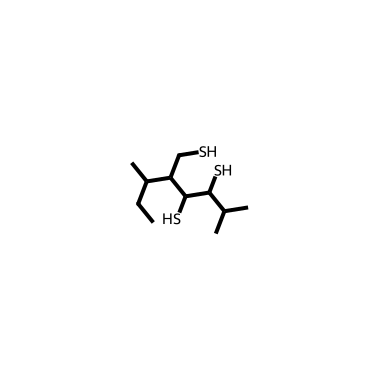 CCC(C)C(CS)C(S)C(S)C(C)C